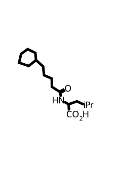 CC(C)CC(NC(=O)CCCCC1CCCCC1)C(=O)O